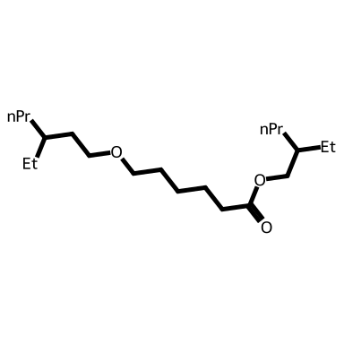 CCCC(CC)CCOCCCCCC(=O)OCC(CC)CCC